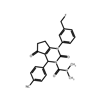 CN(C)C(=O)N1C(=O)N(c2cccc(CF)c2)C2=C(C(=O)CC2)C1c1ccc(C#N)cc1